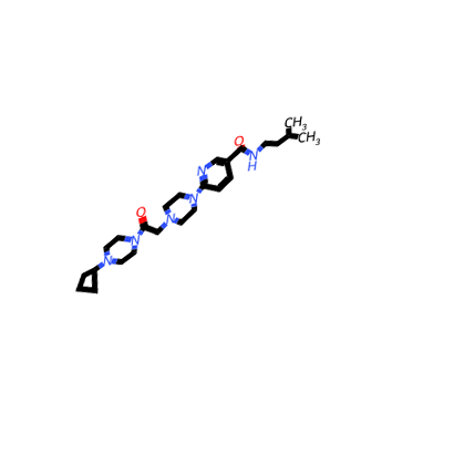 CC(C)CCNC(=O)c1ccc(N2CCN(CC(=O)N3CCN(C4CCC4)CC3)CC2)nc1